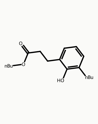 CCCCOC(=O)CCc1cccc(CCCC)c1O